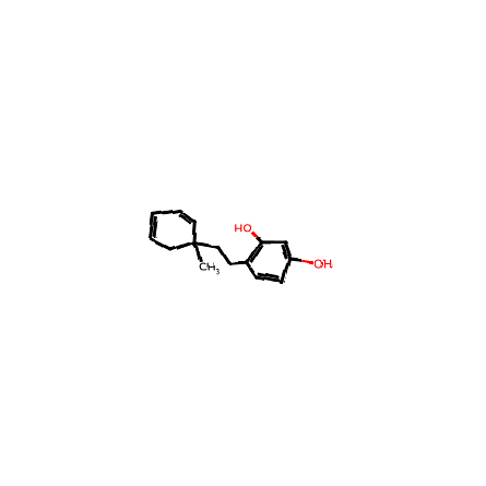 CC1(CCc2ccc(O)cc2O)C=CC=CC1